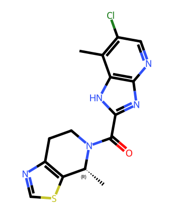 Cc1c(Cl)cnc2nc(C(=O)N3CCc4ncsc4[C@H]3C)[nH]c12